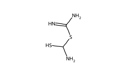 N=C(N)SC(N)S